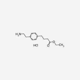 CCOC(=O)CCCc1ccc(CCN)cc1.Cl